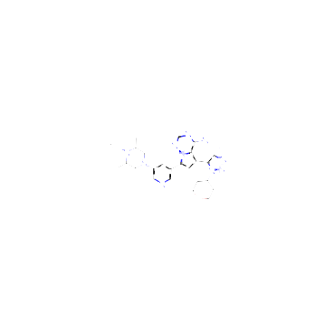 CC(=O)N1C(C)CN(c2cncc(-c3cc(-c4cnnn4C4CCOCC4)c4c(N)ncnn34)c2)CC1C